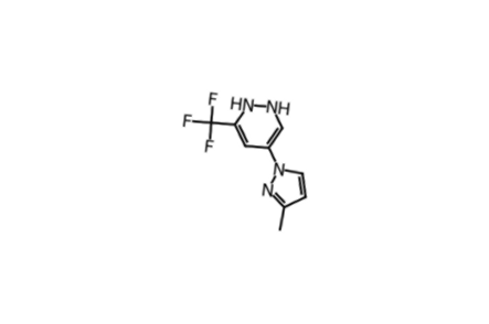 Cc1ccn(C2=CNNC(C(F)(F)F)=C2)n1